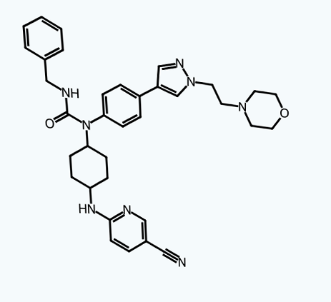 N#Cc1ccc(NC2CCC(N(C(=O)NCc3ccccc3)c3ccc(-c4cnn(CCN5CCOCC5)c4)cc3)CC2)nc1